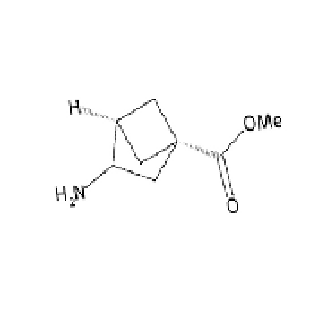 COC(=O)[C@]12CC(N)[C@H](C1)C2